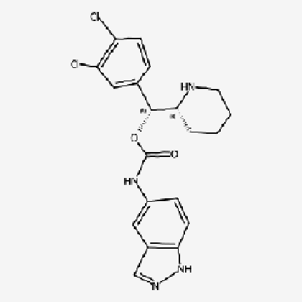 O=C(Nc1ccc2[nH]ncc2c1)O[C@H](c1ccc(Cl)c(Cl)c1)[C@H]1CCCCN1